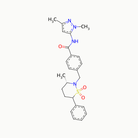 Cc1cc(NC(=O)c2ccc(CN3[C@@H](C)CCC(c4ccccc4)S3(=O)=O)cc2)n(C)n1